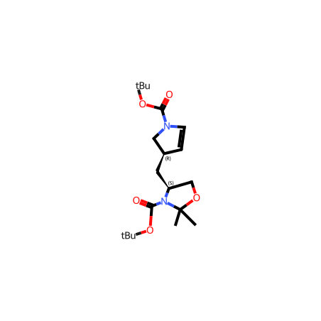 CC(C)(C)OC(=O)N1C=C[C@@H](C[C@H]2COC(C)(C)N2C(=O)OC(C)(C)C)C1